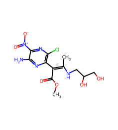 COC(=O)/C(=C(/C)NCC(O)CO)c1nc(N)c([N+](=O)[O-])nc1Cl